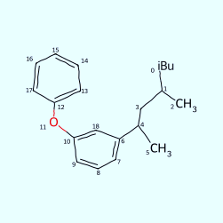 CCC(C)C(C)CC(C)c1cccc(Oc2ccccc2)c1